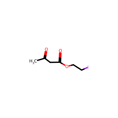 CC(=O)CC(=O)OCCI